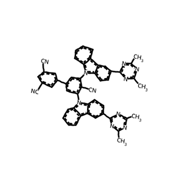 Cc1nc(C)nc(-c2ccc3c(c2)c2ccccc2n3-c2cc(-c3cc(C#N)cc(C#N)c3)cc(-n3c4ccccc4c4cc(-c5nc(C)nc(C)n5)ccc43)c2C#N)n1